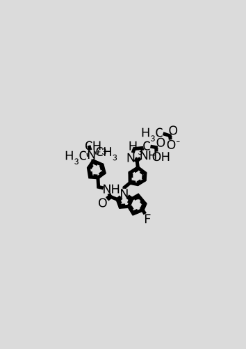 CC(=O)O.CC(=O)[O-].C[N+](C)(C)c1ccc(CNC(=O)c2cc3cc(F)ccc3n2Cc2cccc(C3=NCCN3)c2)cc1